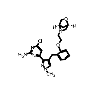 Cn1cc(Cc2ccccc2OCCN2C[C@H]3C[C@@H]2CO3)c(-c2cc(Cl)nc(N)n2)n1